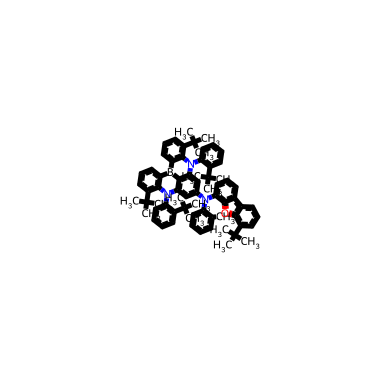 Cc1ccccc1N(c1cc2c3c(c1)N(c1ccccc1C(C)(C)C)c1c(cccc1C(C)(C)C)B3c1cccc(C(C)(C)C)c1N2c1ccccc1C(C)(C)C)c1cccc2c1oc1c(C(C)(C)C)cccc12